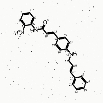 Nc1ccccc1NC(=O)/C=C/c1ccc(NC/C=C/c2ccccc2)cc1